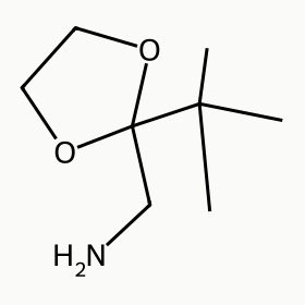 CC(C)(C)C1(CN)OCCO1